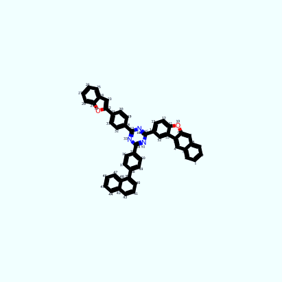 c1ccc2cc3c(cc2c1)oc1ccc(-c2nc(-c4ccc(-c5cc6ccccc6o5)cc4)nc(-c4ccc(-c5cccc6ccccc56)cc4)n2)cc13